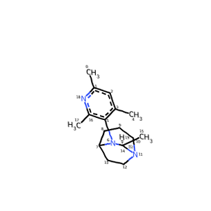 Cc1cc(C)c(N2C3CCCN(CC3)[C@@H]2C)c(C)n1